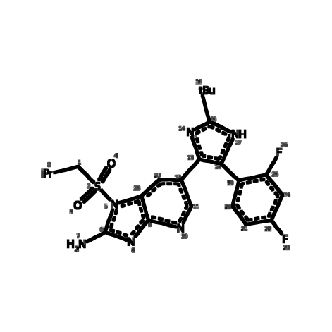 CC(C)CS(=O)(=O)n1c(N)nc2ncc(-c3nc(C(C)(C)C)[nH]c3-c3ccc(F)cc3F)cc21